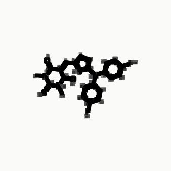 CN1C(=O)C(=Cc2ccc(N(c3ccc(F)cc3)c3ccc(F)cc3)s2)C(=O)N(C)C1=S